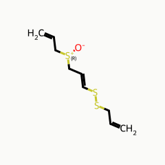 C=CCSSC=CC[S@@+]([O-])CC=C